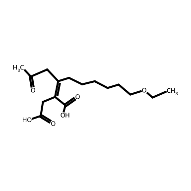 CCOCCCCCCC(CC(C)=O)=C(CC(=O)O)C(=O)O